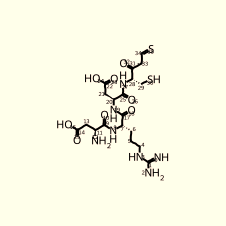 N=C(N)NCCC[C@H](NC(=O)[C@@H](N)CC(=O)O)C(=O)N[C@@H](CC(=O)O)C(=O)N[C@@H](CS)C(=O)[CH]C=S